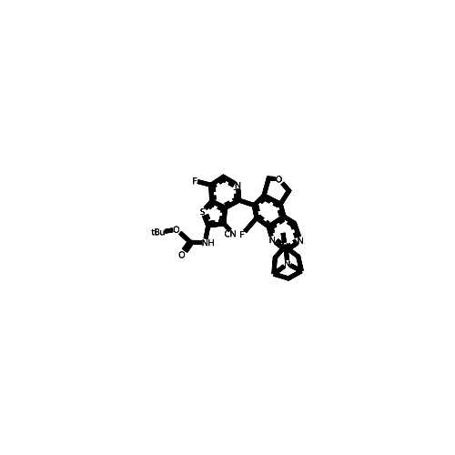 CN1CC2CC(C1)N2c1ncc2c3c(c(-c4ncc(F)c5sc(NC(=O)OC(C)(C)C)c(C#N)c45)c(F)c2n1)COC3